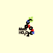 COc1ccc(C2CCN(CC(F)(F)C(F)F)CC2)c(O[C@H]2CC[C@H](Oc3cc(C(CC(=O)O)C4CC4)ccn3)CC2)c1